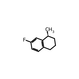 C[C@H]1CCCc2ccc(F)cc21